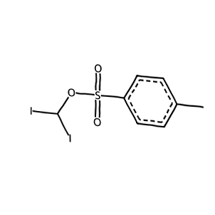 Cc1ccc(S(=O)(=O)OC(I)I)cc1